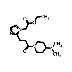 CCOC(=O)Cn1ccnc1CCC(=O)N1CCC(N(C)C)CC1